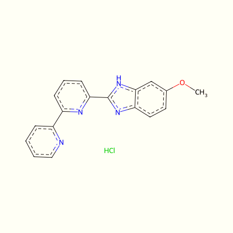 COc1ccc2nc(-c3cccc(-c4ccccn4)n3)[nH]c2c1.Cl